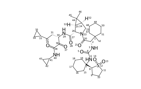 CC1([C@H](NC(=O)NC2([C@@H]3CCCS3(=O)=O)CCCCC2)C(=O)N2C[C@H]3[C@@H]([C@H]2C(=O)N[C@@H](CCC2CC2)C(=O)C(=O)NC2CC2)C3(C)C)CCCCC1